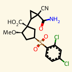 CO[C@@H]1C[C@H](S(=O)(=O)c2ccc(Cl)cc2Cl)C[C@@]1(C(=O)O)C1CC1(C#N)C(N)=O